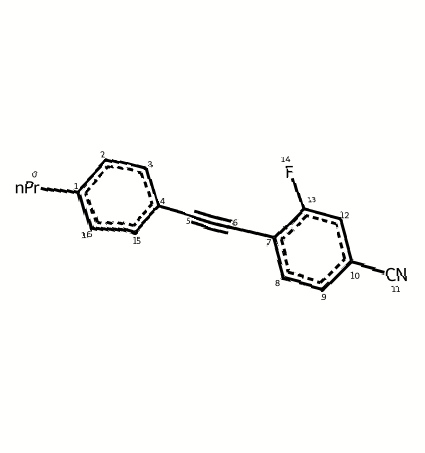 CCCc1ccc(C#Cc2ccc(C#N)cc2F)cc1